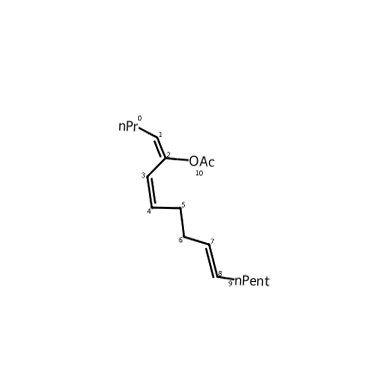 CCC/C=C(\C=C/CCC=CCCCCC)OC(C)=O